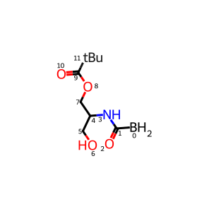 BC(=O)NC(CO)COC(=O)C(C)(C)C